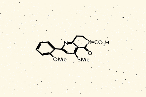 COc1ccccc1-c1cc(SC)c2c(n1)CCN(C(=O)O)C2=O